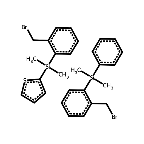 C[Si](C)(c1ccccc1)c1ccccc1CBr.C[Si](C)(c1cccs1)c1ccccc1CBr